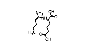 CCCC=C(N)N.O=C(O)CCCCC(=O)O